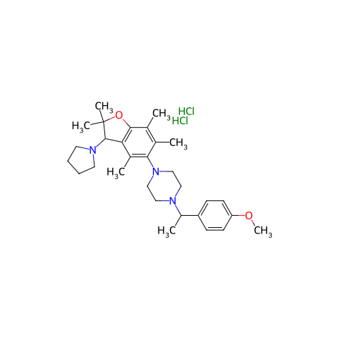 COc1ccc(C(C)N2CCN(c3c(C)c(C)c4c(c3C)C(N3CCCC3)C(C)(C)O4)CC2)cc1.Cl.Cl